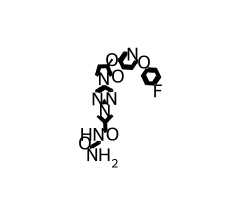 NC(=O)CNC(=O)C1CN(c2ncc(N3CC[C@@H](Oc4ccc(Oc5ccc(F)cc5)nc4)C3=O)cn2)C1